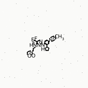 CN1CCN(c2ccc(Nc3ncc(C(F)(F)F)c(NCCCN4CCCOC4=O)n3)c(C3CCCC3)c2)CC1